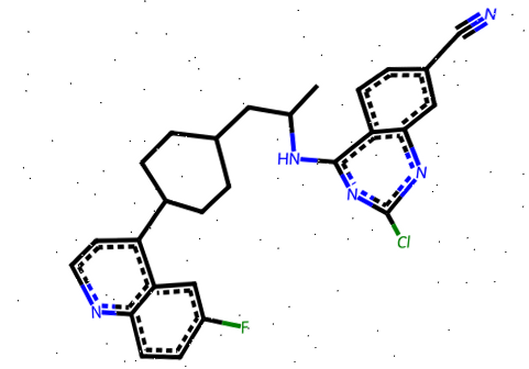 CC(CC1CCC(c2ccnc3ccc(F)cc23)CC1)Nc1nc(Cl)nc2cc(C#N)ccc12